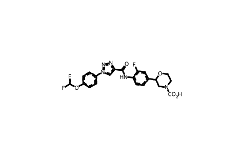 O=C(Nc1ccc(C2CN(C(=O)O)CCO2)cc1F)c1cn(-c2ccc(OC(F)F)cc2)nn1